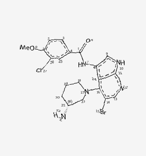 COc1ccc(C(=O)Nc2c[nH]c3ncc(Br)c(N4CCC[C@@H](N)C4)c23)cc1Cl